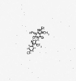 CCCn1c(=O)n(Cc2cnn(-c3ccc(Cl)cc3)c2C(F)(F)F)c(=O)c2c1nc(CC)n2C